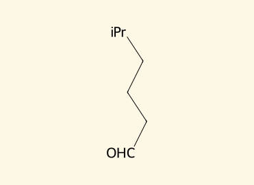 CC(C)CCCC=O